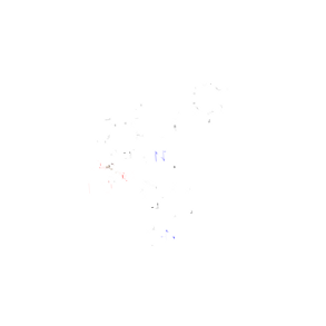 CN(C)[C@H]1CC[C@]2(C)CN(CC=Cc3ccccc3)CC=C2C1(C)C.Cc1ccc(S(=O)(=O)O)cc1